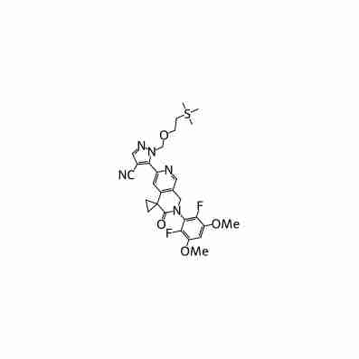 COc1cc(OC)c(F)c(N2Cc3cnc(-c4c(C#N)cnn4COCCS(C)(C)C)cc3C3(CC3)C2=O)c1F